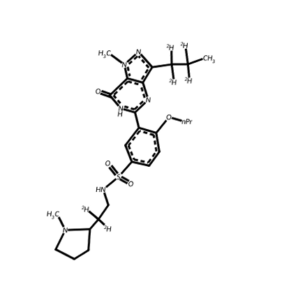 [2H]C([2H])(CNS(=O)(=O)c1ccc(OCCC)c(-c2nc3c(C([2H])([2H])C([2H])([2H])C)nn(C)c3c(=O)[nH]2)c1)C1CCCN1C